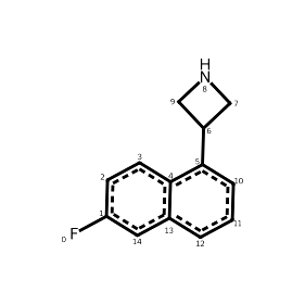 Fc1ccc2c(C3CNC3)cccc2c1